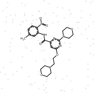 Cc1ccc([N+](=O)[O-])c(NC(=O)c2cc(OCCN3CCOCC3)nc(N3CCOCC3)n2)c1